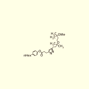 CCCCCCc1ccc(OC(=O)CCc2cn(CCC(C)(C)OCCC(C)(C)OC)nn2)cc1